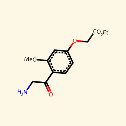 CCOC(=O)COc1ccc(C(=O)CN)c(OC)c1